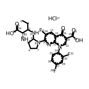 CCC(NC1CCCN1c1nc2c(cc1F)c(=O)c(C(=O)O)cn2-c1ccc(F)cc1F)[C@H](N)C(=O)O.Cl